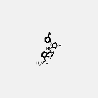 NC(=O)c1cccc2c(NC3CNC[C@@H]3c3cccc(Br)c3)ncnc12